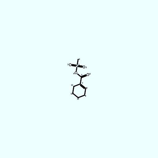 CS(=O)(=O)OC(=O)C1=CCCCC1